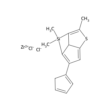 CC1=C2C3C(=CC(C4=CC=CC4)=C3[Si]2(C)C)S1.[Cl-].[Cl-].[Zr+2]